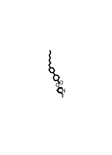 CCCCCCCC1CCC(C2CCC(C(=O)Oc3ccc(F)nc3)CC2)CC1